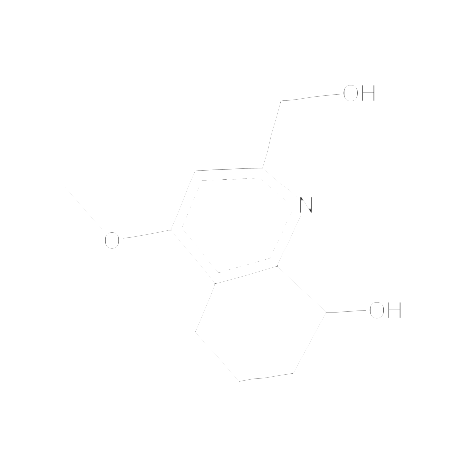 COc1cc(CO)nc2c1CCCC2O